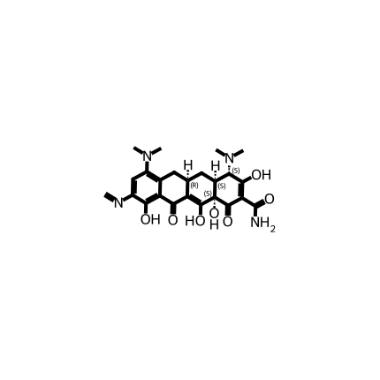 C=Nc1cc(N(C)C)c2c(c1O)C(=O)C1=C(O)[C@]3(O)C(=O)C(C(N)=O)=C(O)[C@@H](N(C)C)[C@@H]3C[C@@H]1C2